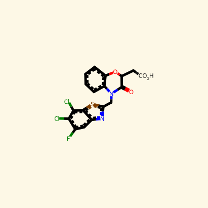 O=C(O)CC1Oc2ccccc2N(Cc2nc3cc(F)c(Cl)c(Cl)c3s2)C1=O